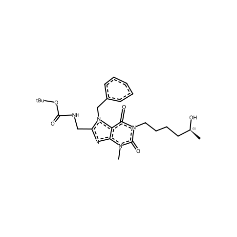 C[C@H](O)CCCCn1c(=O)c2c(nc(CNC(=O)OC(C)(C)C)n2Cc2ccccc2)n(C)c1=O